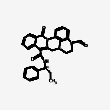 CC[C@H](NC(=O)c1c(CN2CCN(C=O)CC2)n(-c2ccccc2)c(=O)c2ccccc12)c1ccccc1